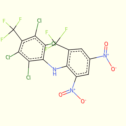 O=[N+]([O-])c1cc([N+](=O)[O-])c(Nc2c(Cl)c(Cl)c(C(F)(F)F)c(Cl)c2Cl)c(C(F)(F)F)c1